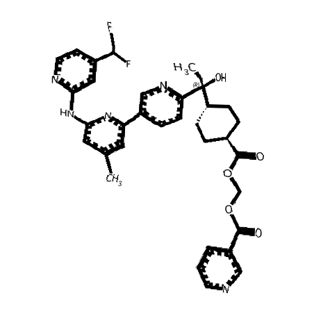 Cc1cc(Nc2cc(C(F)F)ccn2)nc(-c2ccc([C@](C)(O)[C@H]3CC[C@H](C(=O)OCOC(=O)c4cccnc4)CC3)nc2)c1